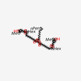 CCCCC/C=C\C/C=C\CCCCCCCC(=O)OC(COC(=O)CCCCCCCCC/C=C\CC(CCCCCC)OC(=O)/C=C/c1ccc(O)c(OC)c1)COC(=O)CCCCCCCCC/C=C\CC(CCCCCC)OC(=O)/C=C/c1ccc(O)c(OC)c1